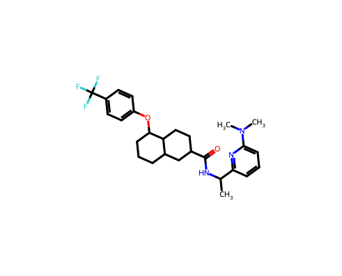 CC(NC(=O)C1CCC2C(CCCC2Oc2ccc(C(F)(F)F)cc2)C1)c1cccc(N(C)C)n1